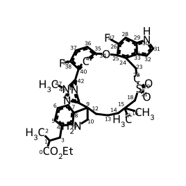 CCOC(=O)C(C)Cc1cccc(C2(CN)CCCC(C)(C)CS(=O)(=O)CCc3c(c(F)cc4[nH]ccc34)Oc3ccc(F)c(c3)-c3nc2nn3C)c1